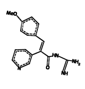 COc1ccc(/C=C(/C(=O)NC(=N)N)c2cccnc2)cc1